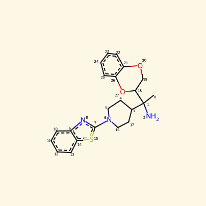 CC(N)(C1CCN(c2nc3ccccc3s2)CC1)C1COc2ccccc2O1